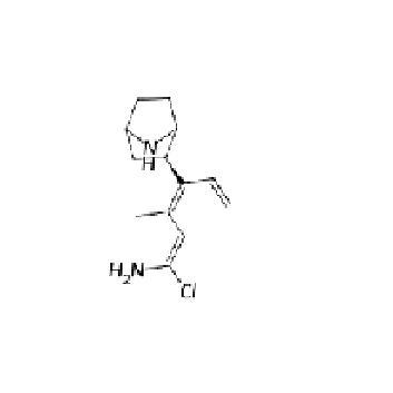 C=C/C(=C(C)\C=C(/N)Cl)[C@H]1CC2CCC1N2